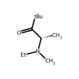 CCN(C)[C@@H](C)C(=O)C(C)(C)C